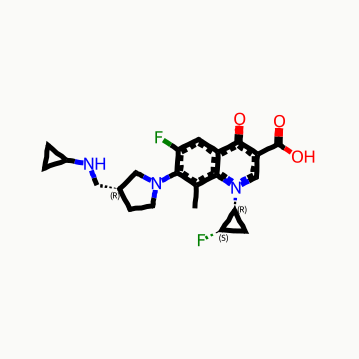 Cc1c(N2CC[C@H](CNC3CC3)C2)c(F)cc2c(=O)c(C(=O)O)cn([C@@H]3C[C@@H]3F)c12